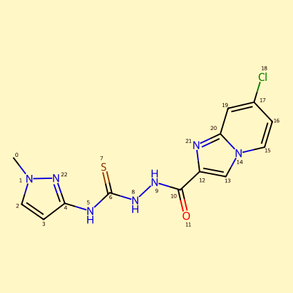 Cn1ccc(NC(=S)NNC(=O)c2cn3ccc(Cl)cc3n2)n1